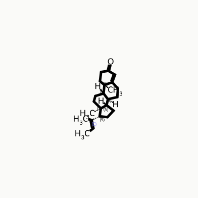 C/C=C(\C)[C@H]1CC[C@H]2[C@@H]3CCC4=CC(=O)CC[C@]4(C)[C@H]3CC[C@]12C